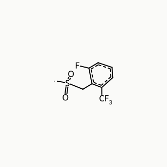 [CH2]S(=O)(=O)Cc1c(F)cccc1C(F)(F)F